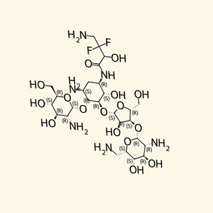 NC[C@@H]1O[C@H](O[C@H]2[C@@H](O)[C@H](O[C@@H]3[C@@H](O)[C@H](NC(=O)C(O)C(F)(F)CN)C[C@H](N)[C@H]3O[C@H]3O[C@H](CO)[C@@H](O)[C@H](O)[C@H]3N)O[C@@H]2CO)[C@H](N)[C@@H](O)[C@@H]1O